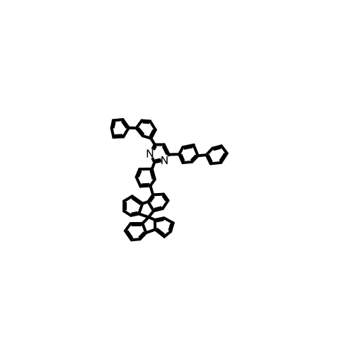 c1ccc(-c2ccc(-c3cc(-c4cccc(-c5ccccc5)c4)nc(-c4cccc(-c5cccc6c5-c5ccccc5C65c6ccccc6-c6ccccc65)c4)n3)cc2)cc1